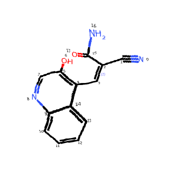 N#C/C(=C/c1c(O)cnc2ccccc12)C(N)=O